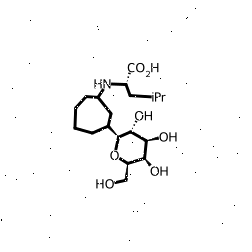 CC(C)C[C@H](NC1CCCCC([C@@H]2O[C@H](CO)[C@H](O)[C@H](O)[C@H]2O)C1)C(=O)O